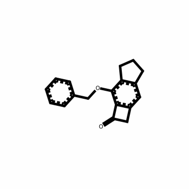 O=C1Cc2cc3c(c(OCc4ccccc4)c21)CCC3